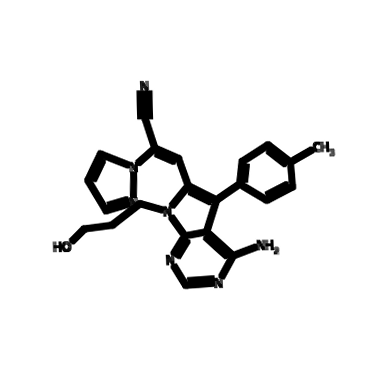 Cc1ccc(-c2c(/C=C(/C#N)n3cccn3)n(CCCO)c3ncnc(N)c23)cc1